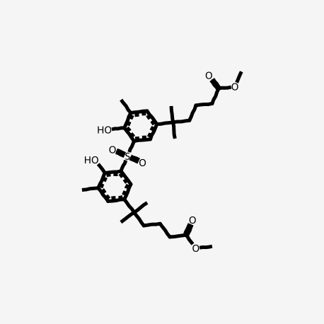 COC(=O)CCCC(C)(C)c1cc(C)c(O)c(S(=O)(=O)c2cc(C(C)(C)CCCC(=O)OC)cc(C)c2O)c1